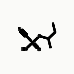 CCC(C)OP(=O)(O)C#N